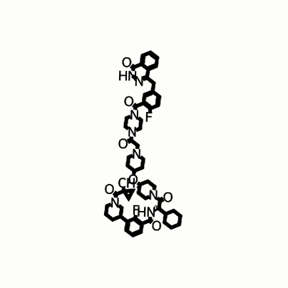 CC1(C(=O)N2CCCC(c3cccc(C(=O)N[C@@H](C(=O)N4CCC(OC5CCN(CC(=O)N6CCN(C(=O)c7cc(Cc8n[nH]c(=O)c9ccccc89)ccc7F)CC6)CC5)CC4)C4CCCCC4)c3F)C2)CC1